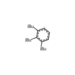 CCC(C)c1[c]ccc(C(C)CC)c1C(C)CC